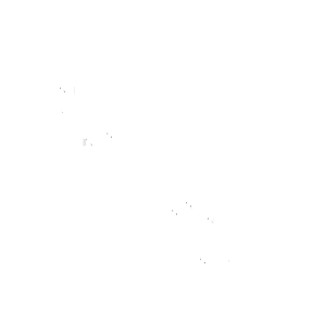 O=C(CC1CCCCC1)Nc1cn(CCCCn2cc(C(=O)NCC3CCCC3)[nH]2)nn1